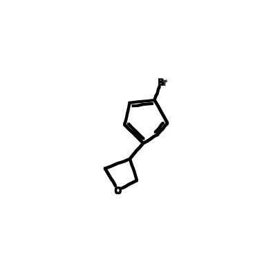 Brc1ccc(C2COC2)cc1